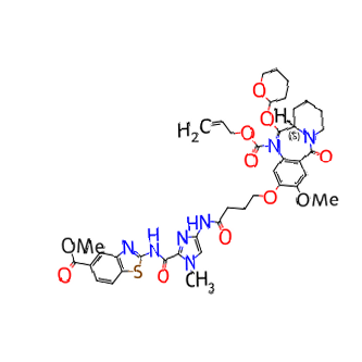 C=CCOC(=O)N1c2cc(OCCCC(=O)Nc3cn(C)c(C(=O)Nc4nc5cc(C(=O)OC)ccc5s4)n3)c(OC)cc2C(=O)N2CCCC[C@H]2C1OC1CCCCO1